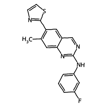 Cc1cc2nc(Nc3cccc(F)c3)ncc2cc1-c1nccs1